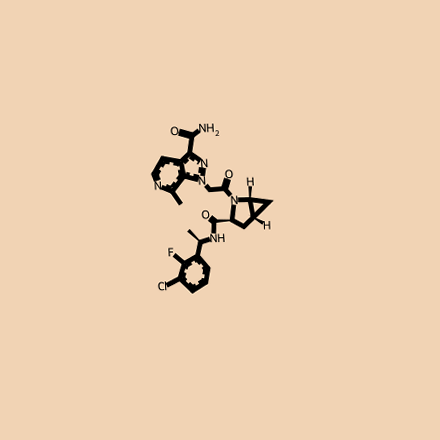 Cc1nccc2c(C(N)=O)nn(CC(=O)N3[C@@H]4C[C@@H]4C[C@H]3C(=O)N[C@H](C)c3cccc(Cl)c3F)c12